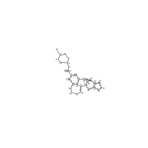 COc1nc(NCC2CCC(C)CC2)nc2c1C(c1ccn3nccc3c1)=CCCC2